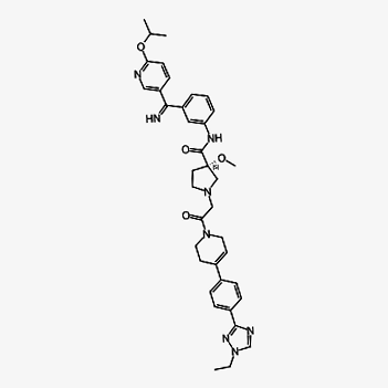 CCn1cnc(-c2ccc(C3=CCN(C(=O)CN4CC[C@@](OC)(C(=O)Nc5cccc(C(=N)c6ccc(OC(C)C)nc6)c5)C4)CC3)cc2)n1